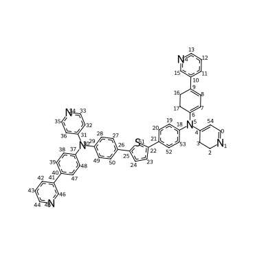 C1=NCCC(N(C2=CC=C(c3cccnc3)CC2)c2ccc(-c3ccc(-c4ccc(N(c5ccncc5)c5ccc(-c6cccnc6)cc5)cc4)s3)cc2)=C1